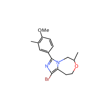 COc1ccc(-c2nc(Br)c3n2CC(C)OCC3)cc1C